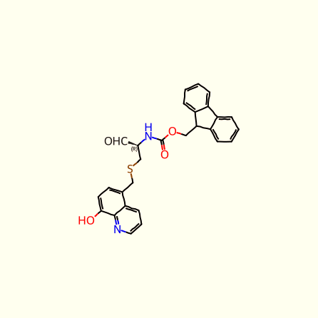 O=C[C@H](CSCc1ccc(O)c2ncccc12)NC(=O)OCC1c2ccccc2-c2ccccc21